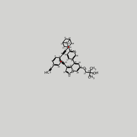 C#Cc1ccc(C#CCN2C3CC2CN(c2ccc(-c4cc(OCC(C)(C)O)cn5ncc(C#N)c45)cn2)C3)nc1